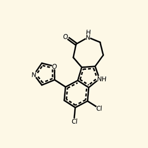 O=C1Cc2c([nH]c3c(Cl)c(Cl)cc(-c4cnco4)c23)CCN1